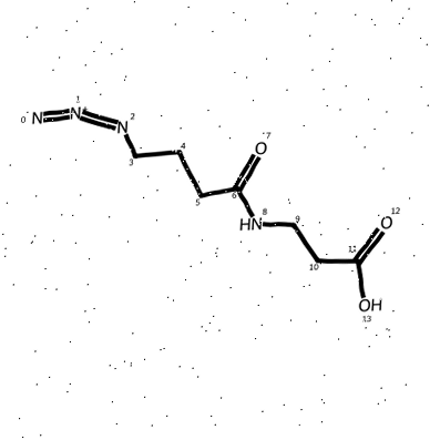 [N-]=[N+]=NCCCC(=O)NCCC(=O)O